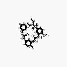 CCN(CC)S(=O)(=O)c1ccc(OC)c(NC(=O)Nc2cc(NC(=O)Oc3ccccc3)ccc2C)c1